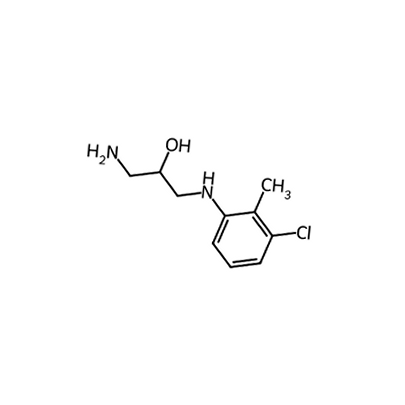 Cc1c(Cl)cccc1NCC(O)CN